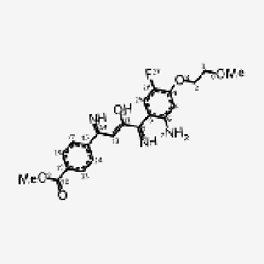 COCCOc1cc(N)c(C(=N)/C(O)=C/C(=N)c2ccc(C(=O)OC)cc2)cc1F